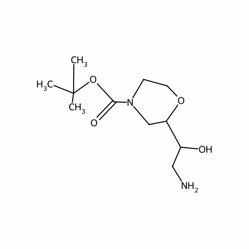 CC(C)(C)OC(=O)N1CCOC(C(O)CN)C1